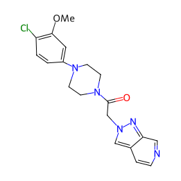 COc1cc(N2CCN(C(=O)Cn3cc4ccncc4n3)CC2)ccc1Cl